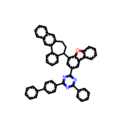 c1ccc(-c2ccc(-c3nc(-c4ccccc4)nc(-c4cc(C5CCc6cc7ccccc7cc6-c6ccccc65)c5oc6ccccc6c5c4)n3)cc2)cc1